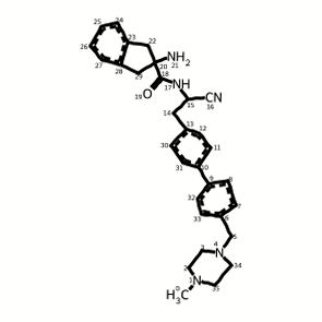 CN1CCN(Cc2ccc(-c3ccc(CC(C#N)NC(=O)C4(N)Cc5ccccc5C4)cc3)cc2)CC1